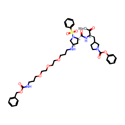 COC(=O)[C@@H](CC1CCN(C(=O)Oc2ccccc2)C1)NC(=O)[C@@H]1C[C@@H](NCCCOCCOCCOCCCNC(=O)OCc2ccccc2)CN1S(=O)(=O)c1ccccc1